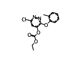 CCOC(=O)Oc1cc(Cl)nnc1Oc1ccccc1C